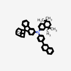 CC1(C)CCC(C)(C)c2cc(N(c3ccc(-c4ccc5ccccc5c4)cc3)c3ccc4c(c3)-c3ccccc3C43C4CC5CC6CC3C64C5)ccc21